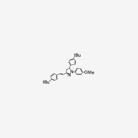 COc1ccc(N2N=C(C=Cc3ccc(C(C)(C)C)cc3)CC2c2ccc(C(C)(C)C)cc2)cc1